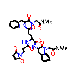 CNC(=O)CNC(=O)C(Cc1ccccc1)NC(=O)CCC(NC(=O)CCN1C(=O)C=CC1=O)C(=O)NC(Cc1ccccc1)C(=O)NCC(=O)NC